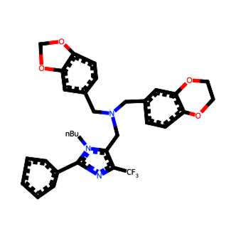 CCCCn1c(-c2ccccc2)nc(C(F)(F)F)c1CN(Cc1ccc2c(c1)OCCO2)Cc1ccc2c(c1)OCO2